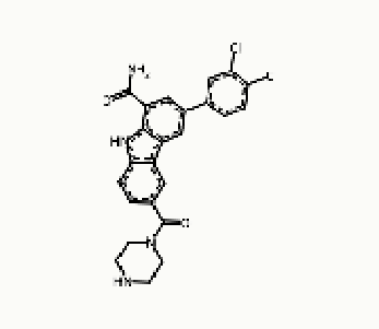 NC(=O)c1cc(-c2ccc(Cl)c(Cl)c2)cc2c1[nH]c1ccc(C(=O)N3CCNCC3)cc12